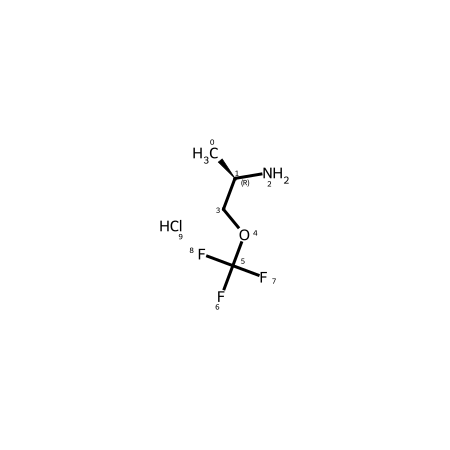 C[C@@H](N)COC(F)(F)F.Cl